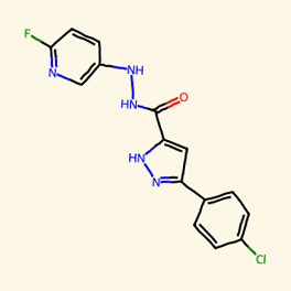 O=C(NNc1ccc(F)nc1)c1cc(-c2ccc(Cl)cc2)n[nH]1